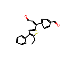 CCc1sc(C(=CC=O)c2ccc(C=O)cc2)cc1-c1ccccc1